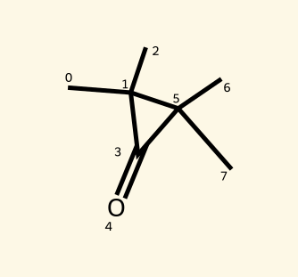 CC1(C)C(=O)C1(C)C